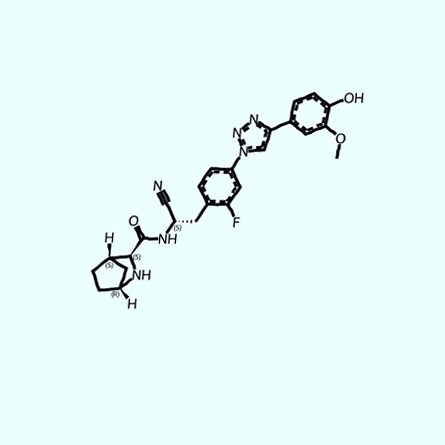 COc1cc(-c2cn(-c3ccc(C[C@@H](C#N)NC(=O)[C@H]4N[C@@H]5CC[C@H]4C5)c(F)c3)nn2)ccc1O